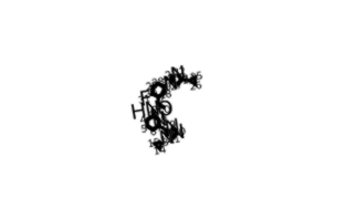 O=C(Nc1cccc(-c2nncn2C2CC2)n1)c1cc(-n2cnc(C3CC3)c2)ccc1F